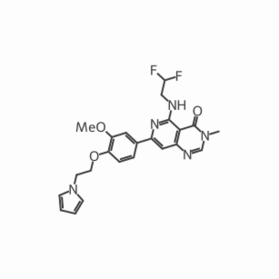 COc1cc(-c2cc3ncn(C)c(=O)c3c(NCC(F)F)n2)ccc1OCCn1cccc1